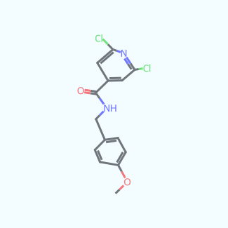 COc1ccc(CNC(=O)c2cc(Cl)nc(Cl)c2)cc1